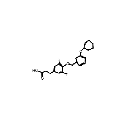 O=C(O)CCc1cc(F)c(OCc2cccc(OC3CCCCC3)c2)c(F)c1